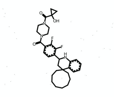 O=C(c1ccc(C2CC3(CCCCCCCC3)c3ccccc3N2)c(F)c1F)N1CCN(C(=O)C2(O)CC2)CC1